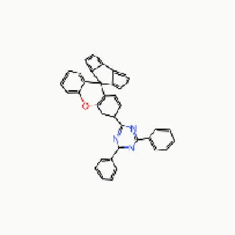 C1=CC(c2nc(-c3ccccc3)nc(-c3ccccc3)n2)CC2=C1C1(c3ccccc3O2)c2ccccc2-c2ccccc21